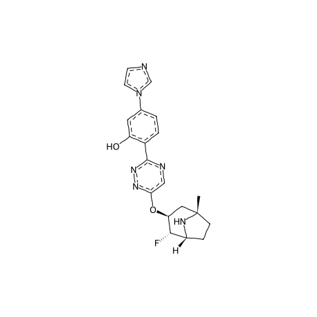 C[C@@]12CC[C@@H](N1)[C@H](F)[C@@H](Oc1cnc(-c3ccc(-n4ccnc4)cc3O)nn1)C2